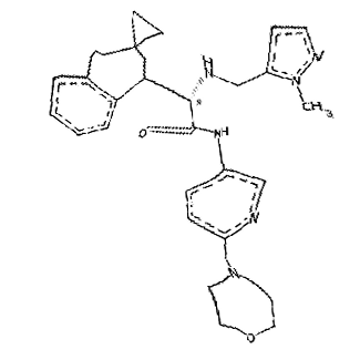 Cn1nccc1CN[C@H](C(=O)Nc1ccc(N2CCOCC2)nc1)C1c2ccccc2CC12CC2